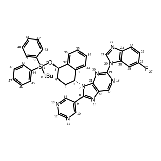 CC(C)(C)[Si](O[C@@H]1CC[C@@H](n2c(-c3cncnc3)nc3cnc(-n4cnc5ccc(F)cc54)nc32)c2ccccc21)(c1ccccc1)c1ccccc1